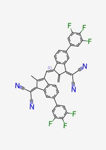 C=C1C(=C(C#N)C#N)c2cc(-c3cc(F)c(F)c(F)c3)ccc2/C1=C/C1=C(C)C(=C(C#N)C#N)c2cc(-c3cc(F)c(F)c(F)c3)ccc21